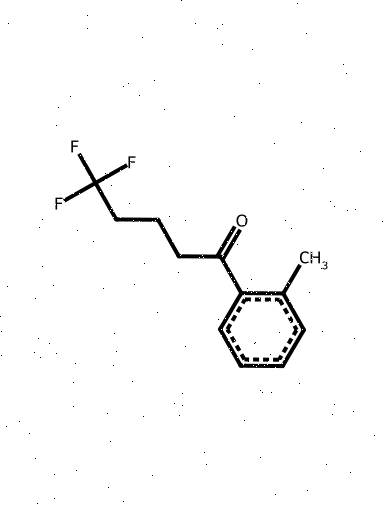 Cc1ccccc1C(=O)CCCC(F)(F)F